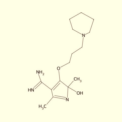 CC1=NC(C)(O)C(OCCCN2CCCCC2)=C1C(=N)N